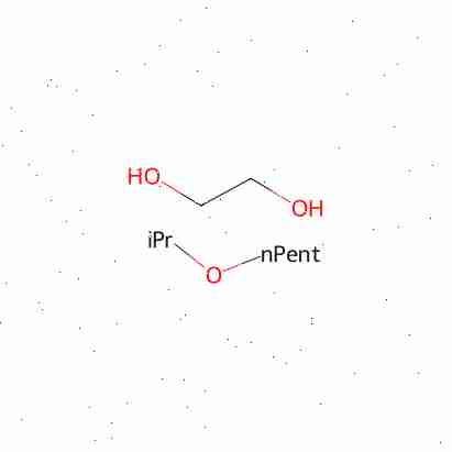 CCCCCOC(C)C.OCCO